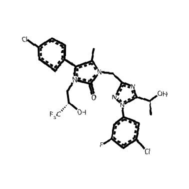 Cc1c(-c2ccc(Cl)cc2)n(C[C@H](O)C(F)(F)F)c(=O)n1Cc1nc([C@H](C)O)n(-c2cc(F)cc(Cl)c2)n1